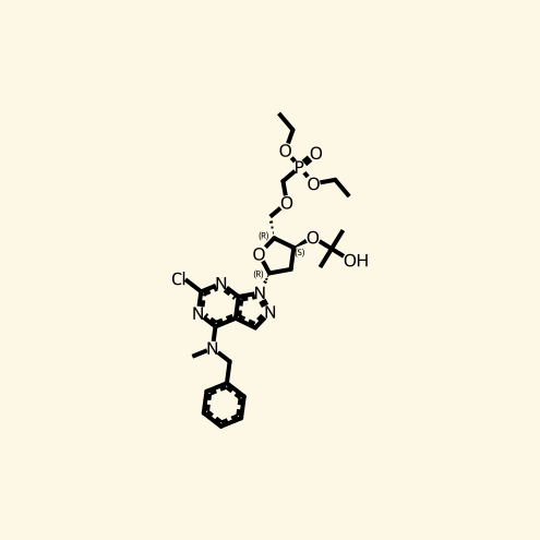 CCOP(=O)(COC[C@H]1O[C@@H](n2ncc3c(N(C)Cc4ccccc4)nc(Cl)nc32)C[C@@H]1OC(C)(C)O)OCC